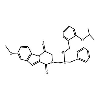 COc1ccc2c(c1)cc1n2C(=O)CN(C[C@H](Cc2ccccc2)NCc2ccccc2OC(C)C)C1=O